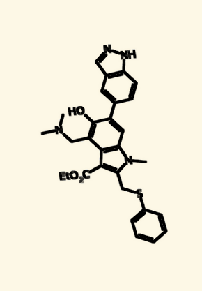 CCOC(=O)c1c(CSc2ccccc2)n(C)c2cc(-c3ccc4[nH]ncc4c3)c(O)c(CN(C)C)c12